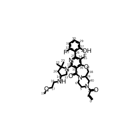 C=CC(=O)N1CCN2C(=O)c3c(N4CC(NCCOC)CC4(C)C)nc(-c4c(O)cccc4F)c(F)c3OCC2C1